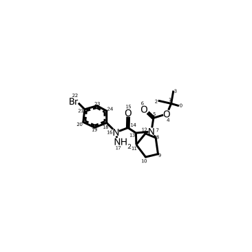 CC(C)(C)OC(=O)N1C2CCC(C2)C1C(=O)N(N)c1ccc(Br)cc1